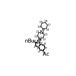 CCCCc1cc2cc(C(C)=O)ccc2n1N1CCN(C2CCCCC2)CC1